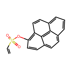 C=CS(=O)(=O)Oc1ccc2ccc3cccc4ccc1c2c34